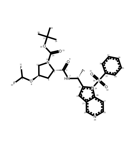 C[C@@H](NC(=O)[C@@H]1C[C@@H](OC(F)F)CN1C(=O)OC(C)(C)C)c1cc2cnccc2n1S(=O)(=O)c1ccccc1